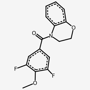 COc1c(F)cc(C(=O)N2CCOc3ccccc32)cc1F